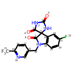 O=C1NC(=O)C2(N1)C(=O)N(Cc1ccc(C(F)(F)F)nc1)c1ccc(F)cc12